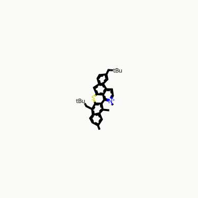 Cc1ccc2c(CC(C)(C)C)c3c(c(C)c2c1)-c1c2c(cc4ccc(CC(C)(C)C)cc4c2cc[n+]1C)S3